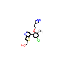 Cc1cc(Cl)cc(-c2ccnc3cc(CO)sc23)c1OCCC1CNC1